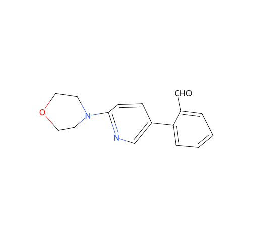 O=Cc1ccccc1-c1ccc(N2CCOCC2)nc1